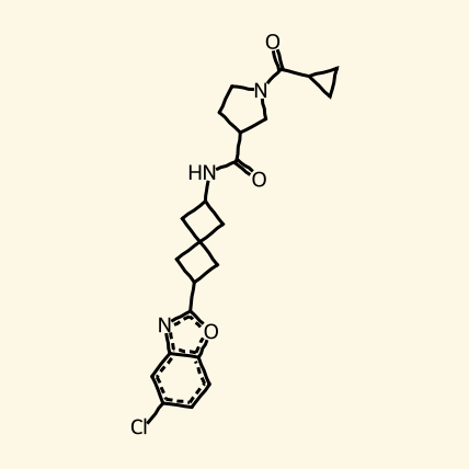 O=C(NC1CC2(C1)CC(c1nc3cc(Cl)ccc3o1)C2)C1CCN(C(=O)C2CC2)C1